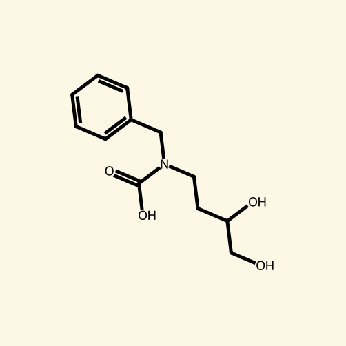 O=C(O)N(CCC(O)CO)Cc1ccccc1